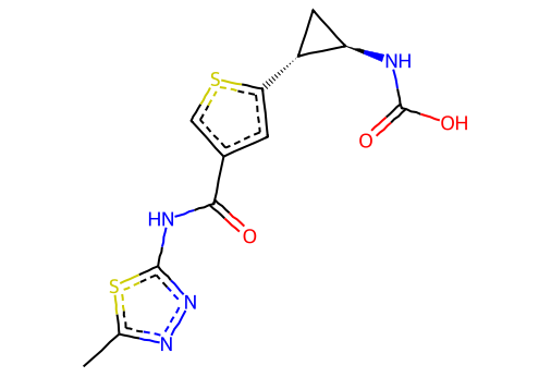 Cc1nnc(NC(=O)c2csc([C@@H]3C[C@H]3NC(=O)O)c2)s1